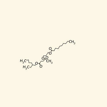 CCCCCCCCCC(=O)OCC1COC(C)(CCC(=O)OCC(CC)CCCC)O1